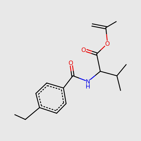 C=C(C)OC(=O)C(NC(=O)c1ccc(CC)cc1)C(C)C